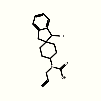 C=CCN(C(=O)O)C1CCC2(CC1)Cc1ccccc1C2O